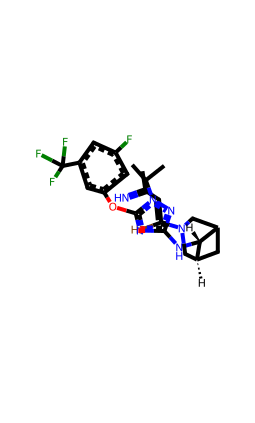 CC(=N)/C=C(\S)N1CC2C[C@@H](C1)[C@@H]2Nc1nc(Oc2cc(F)cc(C(F)(F)F)c2)n(C(C)C)n1